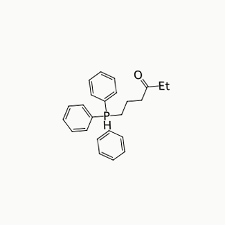 CCC(=O)CCC[PH](c1ccccc1)(c1ccccc1)c1ccccc1